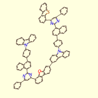 c1ccc(-c2cc(-c3cccc4c3oc3cc(-c5ccc6c(c5)c5ccccc5n6-c5ccc(-c6ccc(-c7nc(-c8ccccc8)cc(-c8cccc9c8sc8ccccc89)n7)c7ccccc67)cc5)ccc34)nc(-c3ccc(-c4ccc(-n5c6ccccc6c6ccccc65)cc4)c4ccccc34)n2)cc1